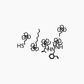 C=C(C)COC(CC)[Si](OC)(OC)OC.C=Cc1ccccc1CNC(C)NC(CC)[Si](OC)(OC)OC.CCCCCCCC[Si](OC)(OC)OC.CCC[Si](OC)(OC)OC.CO[Si](CCCS)(OC)OC